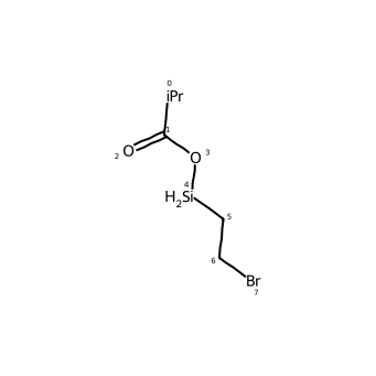 CC(C)C(=O)O[SiH2]CCBr